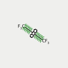 FC(F)(F)C(F)(F)C(F)(F)C(F)(F)C(F)(F)C(F)(F)c1c2ccccc2c(C(F)(F)C(F)(F)C(F)(F)C(F)(F)C(F)(F)C(F)(F)F)c2ccccc12